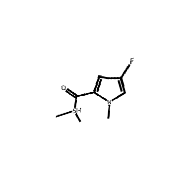 Cn1cc(F)cc1C(=O)[SH](C)C